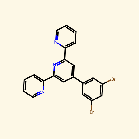 Brc1cc(Br)cc(-c2cc(-c3ccccn3)nc(-c3ccccn3)c2)c1